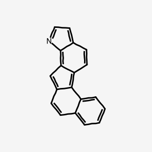 C1=Nc2c3c(ccc2=C1)=c1c(ccc2ccccc12)=C3